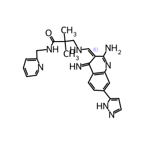 CC(C)(CN/C=C1\C(=N)c2ccc(-c3ccn[nH]3)cc2N=C1N)C(=O)NCc1ccccn1